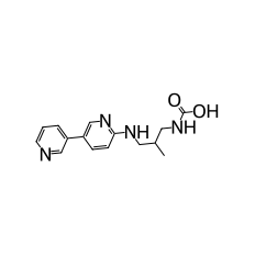 CC(CNC(=O)O)CNc1ccc(-c2cccnc2)cn1